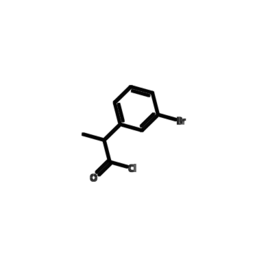 CC(C(=O)Cl)c1cccc(Br)c1